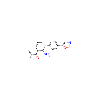 C=C(C)C(=O)c1cccc(-c2ccc(-c3cnco3)cc2)c1N